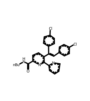 CCCCNC(=O)c1ccc(/C(=C/c2ccc(Cl)cc2)c2ccc(Cl)cc2)c(-c2ccccn2)n1